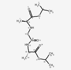 CC(C)OC(=O)[C@H](C)NO[PH](=O)N[C@@H](C)C(=O)OC(C)C